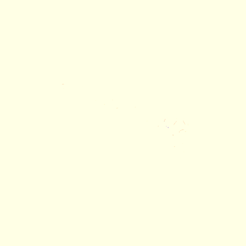 O=C(O)CCCCCCCCCCCCCCCCCCC(=O)Nc1ccccc1SCCCC(=O)O